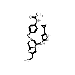 CC(=O)Nc1ccc(SN2C=C(Nc3cc(C4CC4)[nH]n3)[N+]3C=C(CO)N=C3C2)cc1